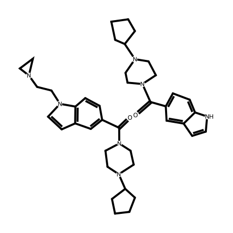 O=C(c1ccc2[nH]ccc2c1)N1CCN(C2CCCC2)CC1.O=C(c1ccc2c(ccn2CCN2CC2)c1)N1CCN(C2CCCC2)CC1